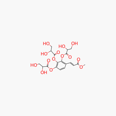 COC(=O)C=Cc1ccc(OC(=O)C(O)CO)c(OC(=O)C(O)CO)c1OC(=O)C(O)CO